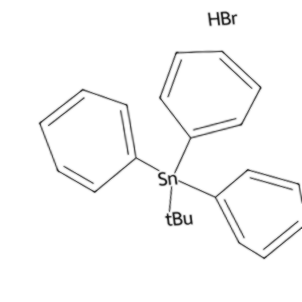 Br.C[C](C)(C)[Sn]([c]1ccccc1)([c]1ccccc1)[c]1ccccc1